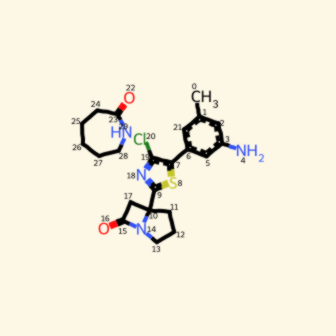 Cc1cc(N)cc(-c2sc(C34CCCN3C(=O)C4)nc2Cl)c1.O=C1CCCCCN1